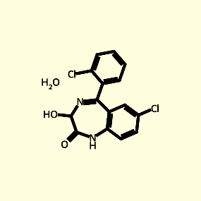 O.O=C1Nc2ccc(Cl)cc2C(c2ccccc2Cl)=NC1O